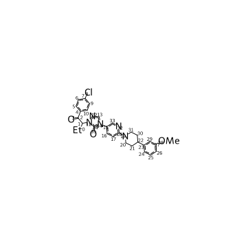 CCC(C(=O)c1ccc(Cl)cc1)n1ncn(-c2ccc(N3CCC(c4cccc(OC)c4)CC3)nc2)c1=O